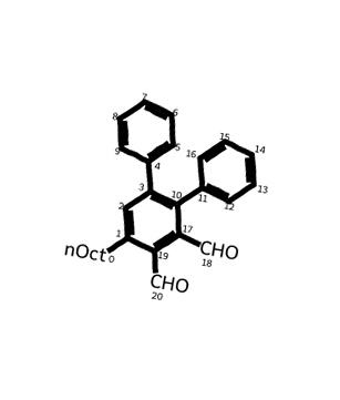 CCCCCCCCc1cc(-c2ccccc2)c(-c2ccccc2)c(C=O)c1C=O